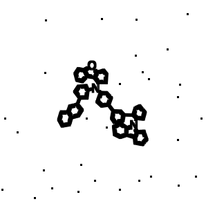 c1cc(-c2ccc(N(c3cccc(-c4ccc5ccccc5c4)c3)c3cccc4oc5ccccc5c34)cc2)cc(-c2ccccc2-n2c3ccccc3c3ccccc32)c1